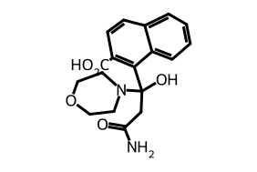 NC(=O)CC(O)(c1c(C(=O)O)ccc2ccccc12)N1CCOCC1